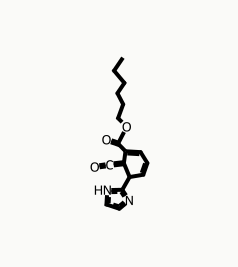 CCCCCCOC(=O)C1=CC=CC(c2ncc[nH]2)C1=C=O